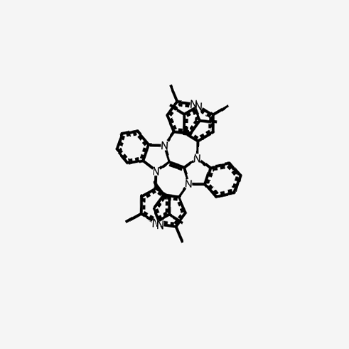 Cc1cc(N2C(=C3N(c4cc(C)nc(C)c4)c4ccccc4N3c3cc(C)nc(C)c3)N(c3cc(C)nc(C)c3)c3ccccc32)c(C)cn1